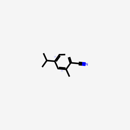 C=C(C#N)/C(C)=C\C(=C/C)C(C)C